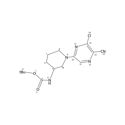 CC(C)(C)OC(=O)NC1CCCN(c2cnc(C#N)c(Cl)n2)C1